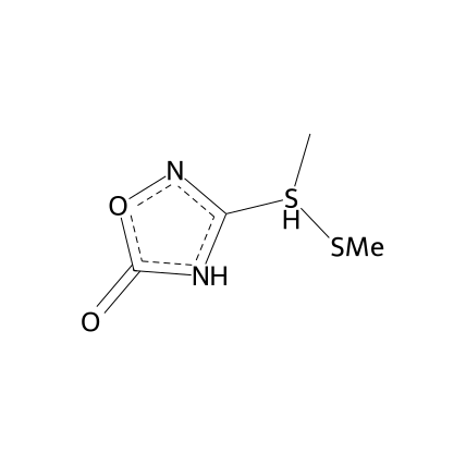 CS[SH](C)c1noc(=O)[nH]1